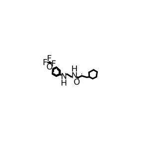 O=C([CH]CC1CCCCC1)NCCNc1ccc(OC(F)(F)F)cc1